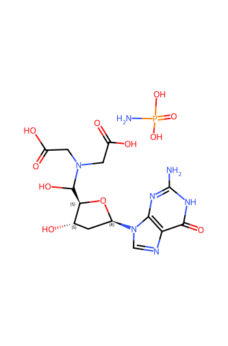 NP(=O)(O)O.Nc1nc2c(ncn2[C@H]2C[C@H](O)[C@@H](C(O)N(CC(=O)O)CC(=O)O)O2)c(=O)[nH]1